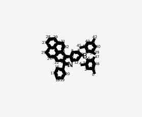 Cc1cc(C)c(B(c2ccc3c(c2)nc(-c2ccccc2)c2cc4ccc5cccc6ccc(c23)c4c56)c2c(C)cc(C)cc2C)c(C)c1